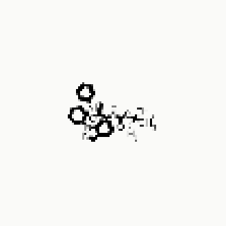 CC(C)(C)OC(=O)NCC(=O)OC1(Nc2ccccc2)CCCCC1n1ncc2ccccc21